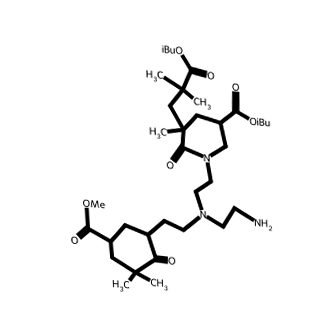 COC(=O)C1CC(CCN(CCN)CCN2CC(C(=O)OCC(C)C)CC(C)(CC(C)(C)C(=O)OCC(C)C)C2=O)C(=O)C(C)(C)C1